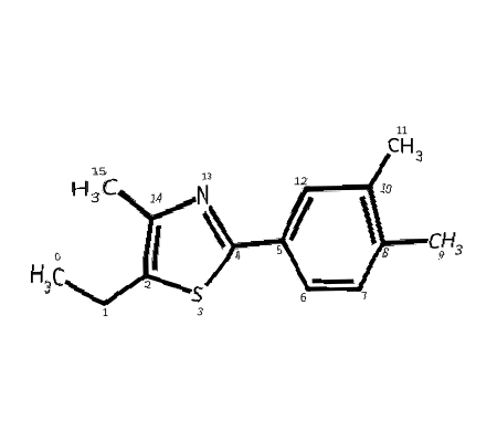 CCc1sc(-c2ccc(C)c(C)c2)nc1C